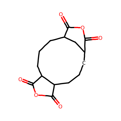 O=C1OC(=O)C2CCCC3C(=O)OC(=O)C3CCCC1C2